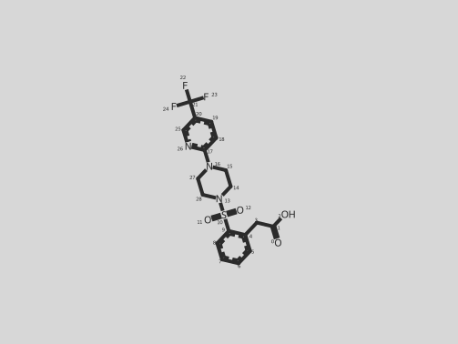 O=C(O)Cc1ccccc1S(=O)(=O)N1CCN(c2ccc(C(F)(F)F)cn2)CC1